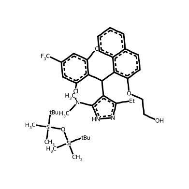 CC(C)(C)[Si](C)(C)O[Si](C)(C)C(C)(C)C.CCc1n[nH]c(N(C)C)c1C(c1c(Cl)cc(C(F)(F)F)cc1Cl)c1c(OCCO)ccc2ccccc12